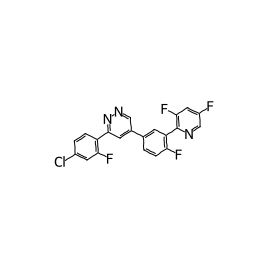 Fc1cnc(-c2cc(-c3cnnc(-c4ccc(Cl)cc4F)c3)ccc2F)c(F)c1